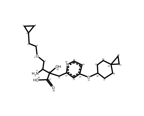 NC(COCCC1CC1)C(O)(Cc1cc(OC2CCC3(CC2)CC3)ccn1)C(=O)O